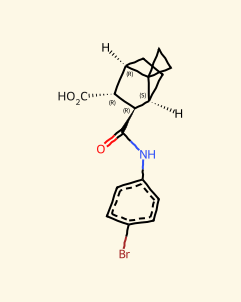 O=C(O)[C@H]1[C@H](C(=O)Nc2ccc(Br)cc2)[C@@H]2CC[C@H]1C21CC1